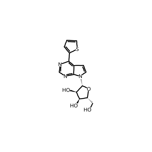 OC[C@H]1O[C@@H](n2ccc3c(-c4cccs4)ncnc32)[C@H](O)[C@@H]1O